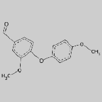 COc1ccc(Oc2ccc(C=O)cc2OC)cc1